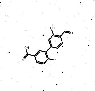 O=Cc1ccc(-c2cc(C(=O)O)ccc2F)cc1O